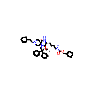 CC(CN1C(=O)[C@H](CCCCNC(=O)OCc2ccccc2)NC(=O)C12CCN(CCc1ccccc1)CC2)(c1ccccc1)c1ccccc1